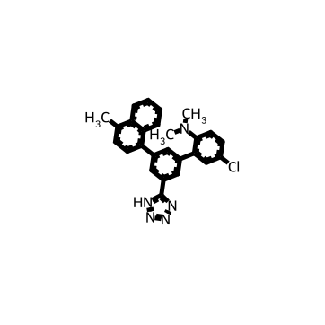 Cc1ccc(-c2cc(-c3nnn[nH]3)cc(-c3cc(Cl)ccc3N(C)C)c2)c2ccccc12